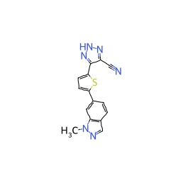 Cn1ncc2ccc(-c3ccc(-c4n[nH]nc4C#N)s3)cc21